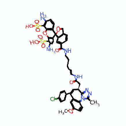 COc1ccc2c(c1)C(c1ccc(Cl)cc1)=C[C@@H](CC(=O)NCCCCCNC(=O)c1ccc3c(c1)C1(OC3)c3ccc(N)c(S(=O)(=O)O)c3Oc3c1ccc(N)c3S(=O)(=O)O)c1nnc(C)n1-2